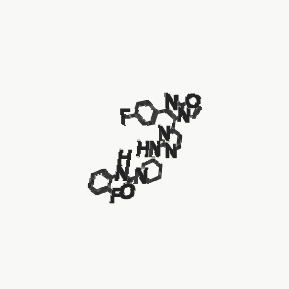 O=C(Nc1ccccc1F)N1CCC[C@@H](Nc2nccc(-c3c(-c4ccc(F)cc4)nc4occn34)n2)C1